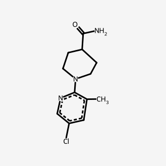 Cc1cc(Cl)cnc1N1CCC(C(N)=O)CC1